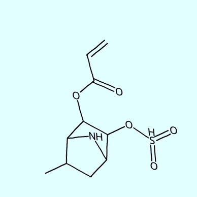 C=CC(=O)OC1C2NC(CC2C)C1O[SH](=O)=O